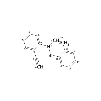 C#Cc1ccccc1N(C)Cc1ccccc1C